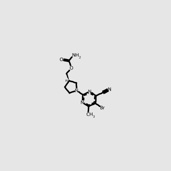 Cc1nc(N2CC[C@@H](COC(N)=O)C2)nc(C#N)c1Br